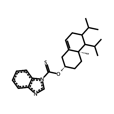 CC(C)C1CC=C2C[C@@H](OC(=S)n3cnc4ccccc43)CC[C@]2(C)C1C(C)C